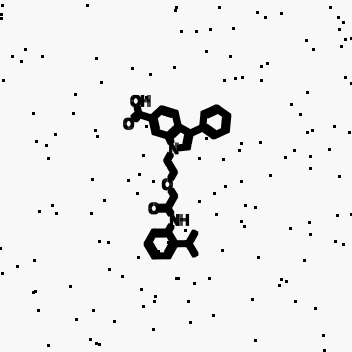 CC(C)c1ccccc1NC(=O)COCCn1cc(-c2ccccc2)c2ccc(C(=O)O)cc21